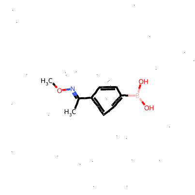 CO/N=C(\C)c1ccc(B(O)O)cc1